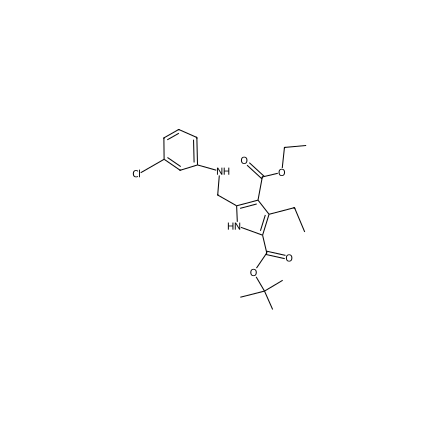 CCOC(=O)c1c(CNc2cccc(Cl)c2)[nH]c(C(=O)OC(C)(C)C)c1CC